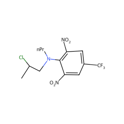 CCCN(CC(C)Cl)c1c([N+](=O)[O-])cc(C(F)(F)F)cc1[N+](=O)[O-]